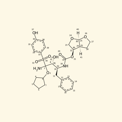 NC(OC1CCCC1)([C@H](O)[C@H](Cc1ccccc1)NC(=O)O[C@H]1CO[C@H]2OCC[C@H]21)S(=O)(=O)c1ccc(O)cc1